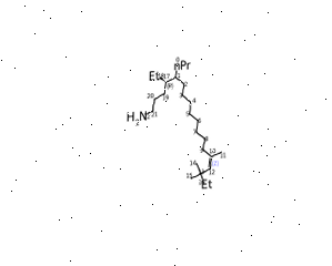 CCCC(CCCCCCCC/C(C)=C\C(C)(C)CC)[C@H](CC)CCCN